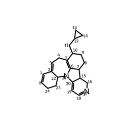 C1=CC2=CCC3=C4C(CCC3CC3CC3)C3CN=CC=C3N4C2CC1